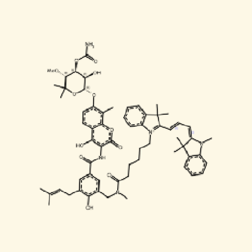 CO[C@@H]1[C@@H](OC(N)=O)[C@@H](O)[C@H](Oc2ccc3c(O)c(NC(=O)c4cc(CC=C(C)C)c(O)c(CN(C)C(=O)CCCCC[N+]5=C(/C=C/C=C6/N(C)c7ccccc7C6(C)C)C(C)(C)c6ccccc65)c4)c(=O)oc3c2C)OC1(C)C